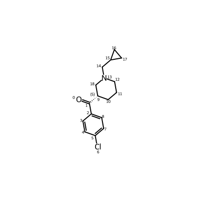 O=C(c1ccc(Cl)cc1)[C@H]1CCCN(CC2CC2)C1